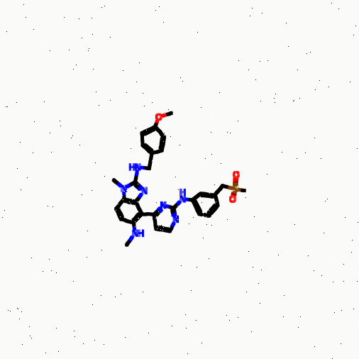 CNc1ccc2c(nc(NCc3ccc(OC)cc3)n2C)c1-c1ccnc(Nc2cccc(CS(C)(=O)=O)c2)n1